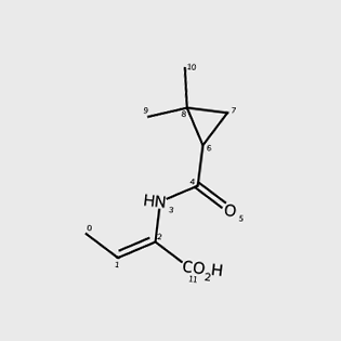 C/C=C(\NC(=O)C1CC1(C)C)C(=O)O